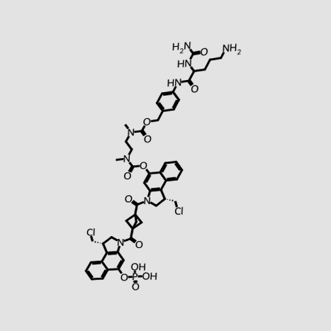 CN(CCN(C)C(=O)Oc1cc2c(c3ccccc13)[C@H](CCl)CN2C(=O)C12CC(C(=O)N3C[C@@H](CCl)c4c3cc(OP(=O)(O)O)c3ccccc43)(C1)C2)C(=O)OCc1ccc(NC(=O)C(CCCN)NC(N)=O)cc1